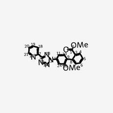 COC(=O)c1ccccc1-c1ccc(-n2nnc(-c3ccccn3)n2)cc1OC